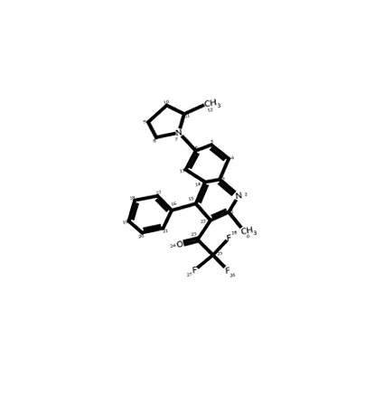 Cc1nc2ccc(N3CCCC3C)cc2c(-c2ccccc2)c1C(=O)C(F)(F)F